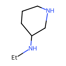 [CH2]CNC1CCCNC1